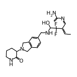 C=C(N)/N=C\C(=C/C)C(F)(F)C(O)NCc1ccc2c(c1)CN(C1CCCNC1=O)C2